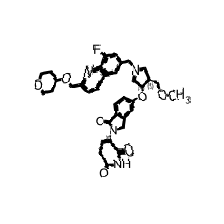 COC[C@@H]1CN(Cc2cc(F)c3nc(COC4CCOCC4)ccc3c2)C[C@H]1Oc1ccc2c(c1)CN([C@H]1CCC(=O)NC1=O)C2=O